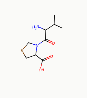 CC(C)C(N)C(=O)N1CSCC1C(=O)O